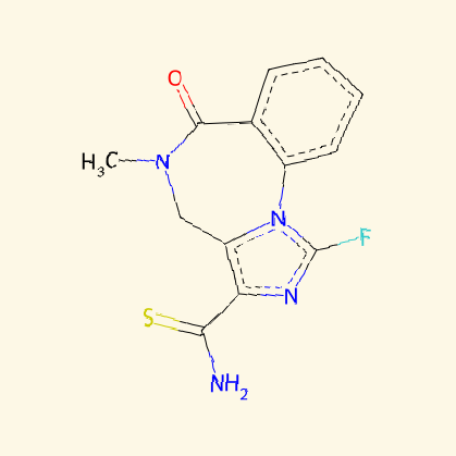 CN1Cc2c(C(N)=S)nc(F)n2-c2ccccc2C1=O